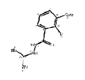 CCC[C@@H](NNC(=O)c1cccc(OC)c1CC)C(C)(C)C